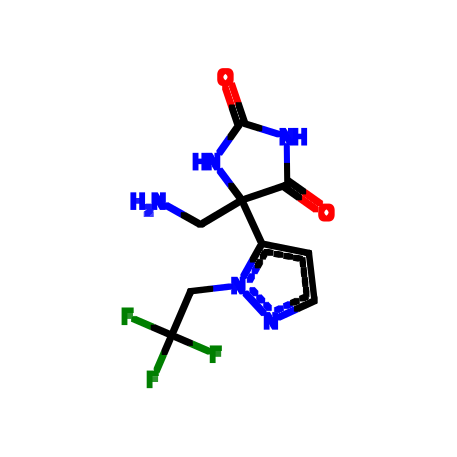 NCC1(c2ccnn2CC(F)(F)F)NC(=O)NC1=O